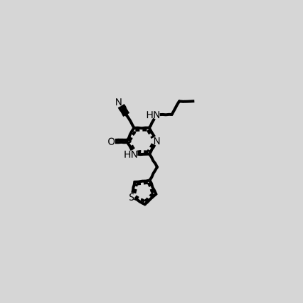 CCCNc1nc(Cc2ccsc2)[nH]c(=O)c1C#N